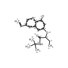 C=Cc1cnc2c(Cl)cc(OC(CC)C(=O)NC(C)(C)C)cc2c1